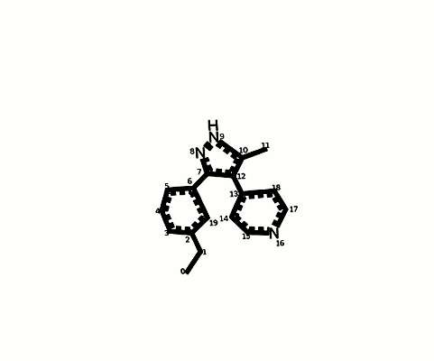 CCc1cccc(-c2n[nH]c(C)c2-c2ccncc2)c1